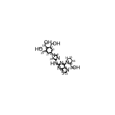 OCc1cc(-n2cnc(Nc3nc(N4CCC[C@H]4CO)c4ncsc4n3)c2)cc(CO)c1CO